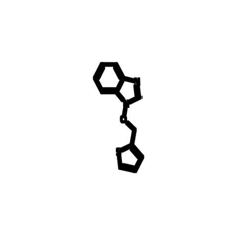 [c]1nc2ccccc2n1OCc1cccs1